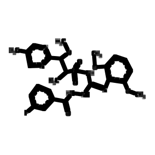 COc1cccc(OC)c1/N=C(/NNC(=O)c1cccc(F)c1)NS(=O)(=O)C(C)C(OC)c1ncc(C)cn1